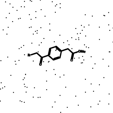 COC(=O)Cc1ccc(C(=O)CBr)cc1